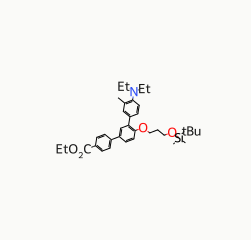 CCOC(=O)c1ccc(-c2ccc(OCCCO[Si](C)(C)C(C)(C)C)c(-c3ccc(N(CC)CC)c(C)c3)c2)cc1